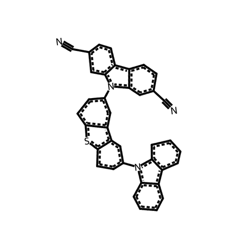 N#Cc1ccc2c3ccc(C#N)cc3n(-c3ccc4sc5ccc(-n6c7ccccc7c7ccccc76)cc5c4c3)c2c1